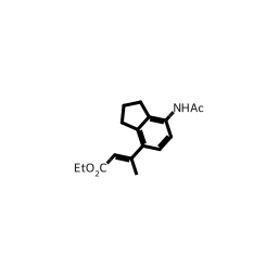 CCOC(=O)C=C(C)c1ccc(NC(C)=O)c2c1CCC2